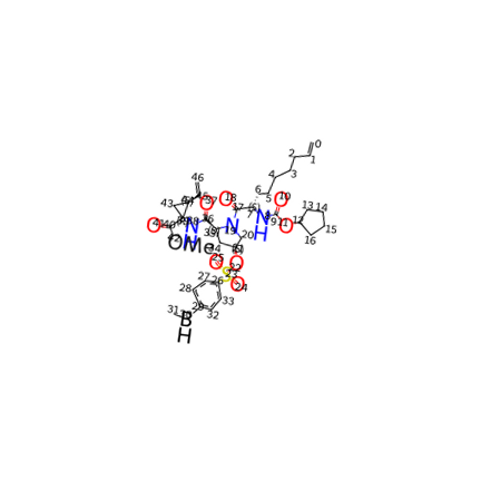 C=CCCCCC[C@H](NC(=O)OC1CCCC1)C(=O)N1C[C@@H](OS(=O)(=O)c2ccc(BC)cc2)C[C@H]1C(=O)N[C@]1(C(=O)OC)C[C@H]1C=C